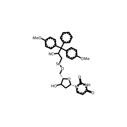 COc1ccc(C(c2ccccc2)(c2ccc(OC)cc2)C(C#N)C[Se]OC[C@@H]2O[C@H](n3ccc(=O)[nH]c3=O)CC2O)cc1